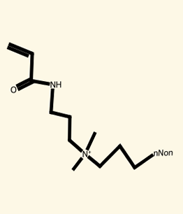 C=CC(=O)NCCC[N+](C)(C)CCCCCCCCCCCC